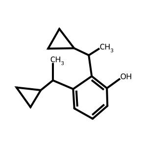 CC(c1cccc(O)c1C(C)C1CC1)C1CC1